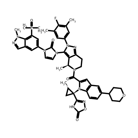 Cc1cc(-n2nc3c(c2-n2ccn(-c4cc(P(C)(C)=O)c5c(cnn5C)c4)c2=O)[C@H](C)N(C(=O)c2cc4cc(C5CCOCC5)ccc4n2[C@@]2(c4noc(=O)[nH]4)C[C@@H]2C)CC3)cc(C)c1F